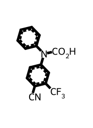 N#Cc1ccc(N(C(=O)O)c2ccccc2)cc1C(F)(F)F